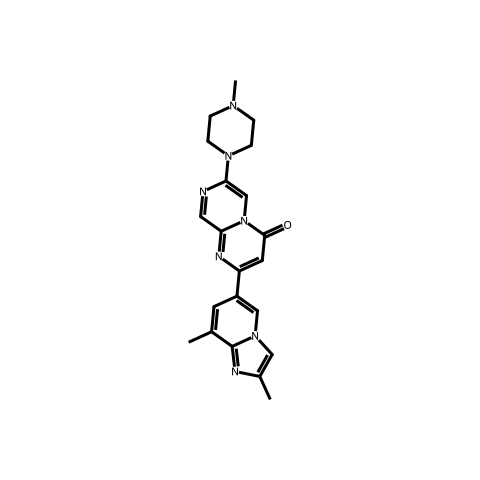 Cc1cn2cc(-c3cc(=O)n4cc(N5CCN(C)CC5)ncc4n3)cc(C)c2n1